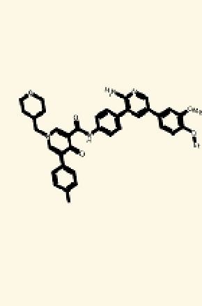 CCOc1ccc(-c2cnc(N)c(-c3ccc(NC(=O)c4cn(CC5CCOCC5)cc(-c5ccc(C)cc5)c4=O)cc3)c2)cc1OC